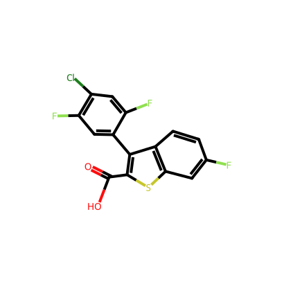 O=C(O)c1sc2cc(F)ccc2c1-c1cc(F)c(Cl)cc1F